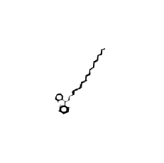 CCCCCCCCCCCCCCCCCC(c1ccccc1O)c1ccccc1O